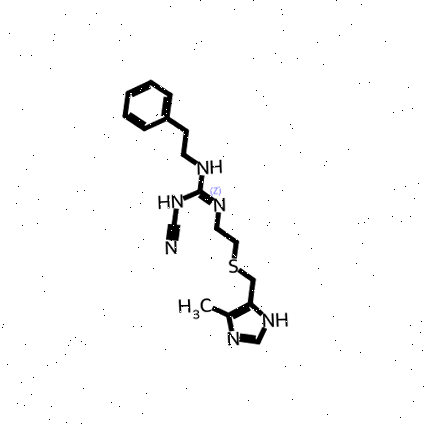 Cc1nc[nH]c1CSCC/N=C(\NC#N)NCCc1ccccc1